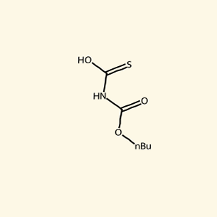 CCCCOC(=O)NC(O)=S